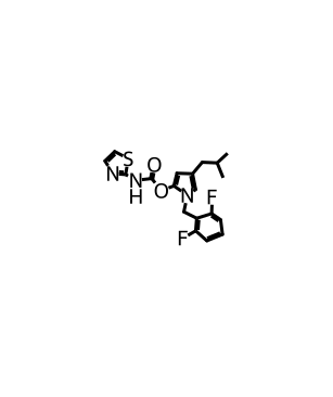 CC(C)Cc1cc(OC(=O)Nc2nccs2)n(Cc2c(F)cccc2F)c1